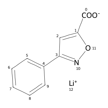 O=C([O-])c1cc(-c2ccccc2)no1.[Li+]